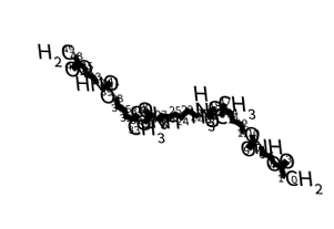 C=CC(=O)OCCNC(=O)OCCCCC(C)(C)OC(=O)NCCCCCCNC(=O)OC(C)(C)CCCCOC(=O)NCCOC(=O)C=C